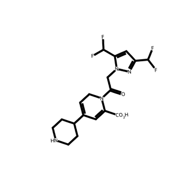 O=C(O)C1=CC(C2CCNCC2)=CCN1C(=O)Cn1nc(C(F)F)cc1C(F)F